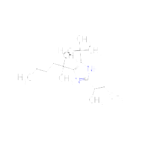 CCCCC(C)(C)c1nc(C(C)CC)[nH]c1C(C)(C)C